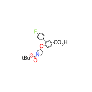 CC(C)(C)OC(=O)N1CC[C@H](Oc2ccc(C(=O)O)cc2-c2ccc(F)cc2)C1